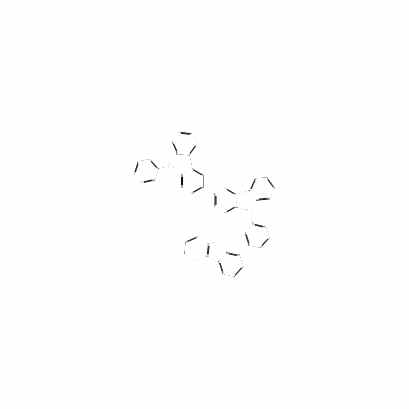 C1=Cc2oc3c(-c4cccc(-n5c6ccccc6c6cc(-c7ccc8c(c7)c7ccccc7n8-c7ccccc7)ccc65)c4)cccc3c2CC1